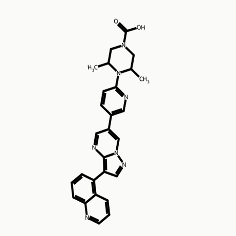 CC1CN(C(=O)O)CC(C)N1c1ccc(-c2cnc3c(-c4cccc5ncccc45)cnn3c2)cn1